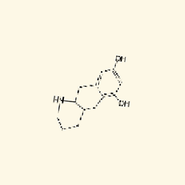 Oc1cc(O)c2c(c1)CC1NCCCC1C2